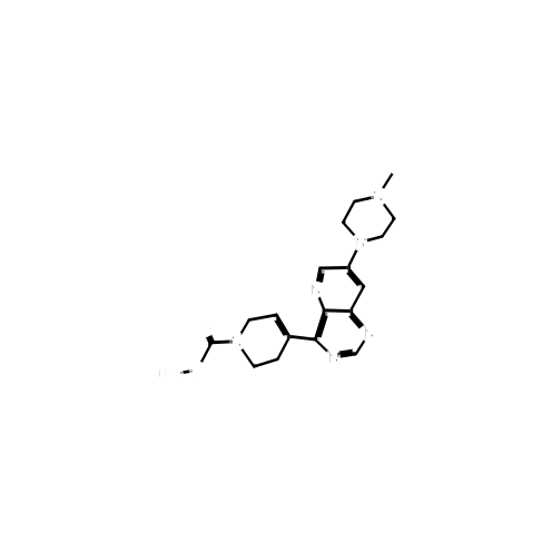 CN1CCN(c2cnc3c(C4=CCN(C(=O)OC(C)(C)C)CC4)ncnc3c2)CC1